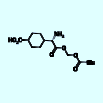 CC(C)(C)C(=O)OCOC(=O)[C@@H](N)C1CCC(C(=O)O)CC1